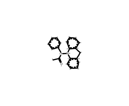 CC(=O)P(c1ccccc1)N1c2ccccc2Cc2ccccc21